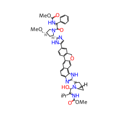 COC[C@H]1C[C@@H](c2ncc(-c3ccc4c(c3)COc3cc5c(ccc6nc([C@@H]7C[C@@H]8CC8N7C(O)[C@@H](NC(=O)OC)C(C)C)[nH]c65)cc3-4)[nH]2)N(C(=O)[C@H](NC(=O)OC)c2ccccc2)C1